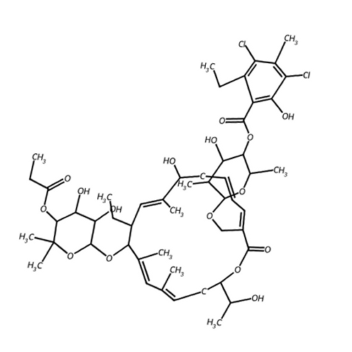 CCC(=O)OC1C(O)C(O)C(OC2/C(C)=C/C(C)=C/CC(C(C)O)OC(=O)/C(COC3OC(C)C(OC(=O)c4c(O)c(Cl)c(C)c(Cl)c4CC)C(O)C3C)=C/C=C/CC(O)/C(C)=C/C2CC)OC1(C)C